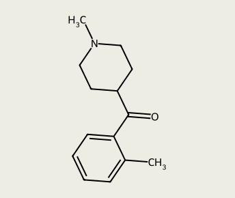 Cc1ccccc1C(=O)C1CCN(C)CC1